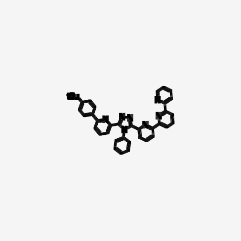 CC(C)(C)c1ccc(-c2cccc(-c3nnc(-c4cccc(-c5cccc(-c6ccccn6)n5)n4)n3-c3ccccc3)n2)cc1